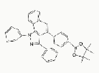 CC1(C)OB(c2ccc(-c3cc4ccccc4c4c3c(-c3ccccc3)nn4-c3ccccc3)cc2)OC1(C)C